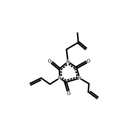 C=CCn1c(=O)n(CC=C)c(=O)n(CC(=C)C)c1=O